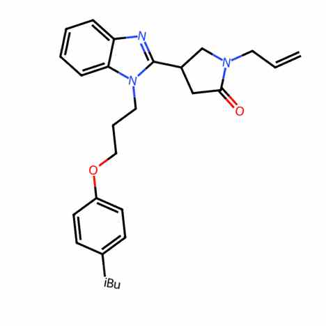 C=CCN1CC(c2nc3ccccc3n2CCCOc2ccc(C(C)CC)cc2)CC1=O